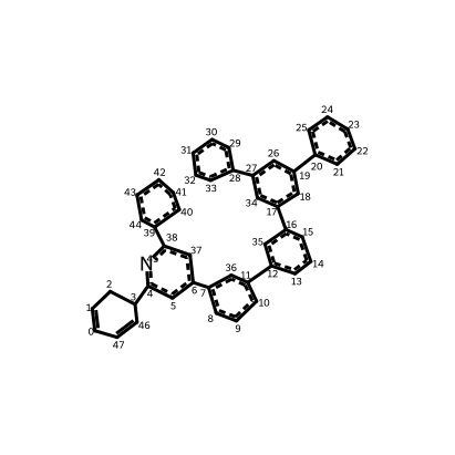 C1=CCC(c2cc(-c3cccc(-c4cccc(-c5cc(-c6ccccc6)cc(-c6ccccc6)c5)c4)c3)cc(-c3ccccc3)n2)C=C1